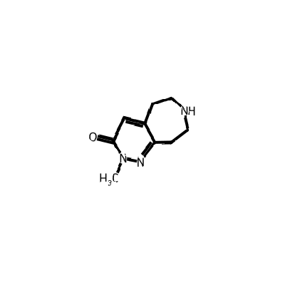 Cn1nc2c(cc1=O)CCNCC2